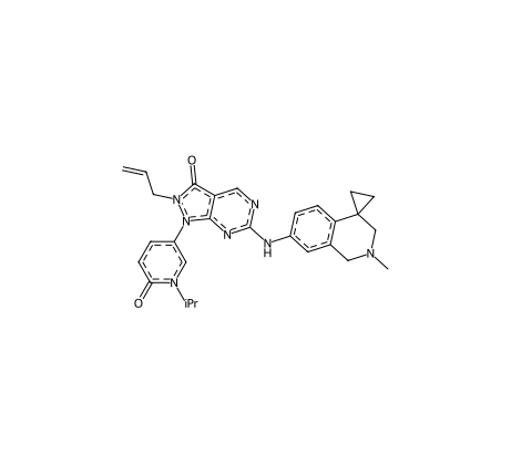 C=CCn1c(=O)c2cnc(Nc3ccc4c(c3)CN(C)CC43CC3)nc2n1-c1ccc(=O)n(C(C)C)c1